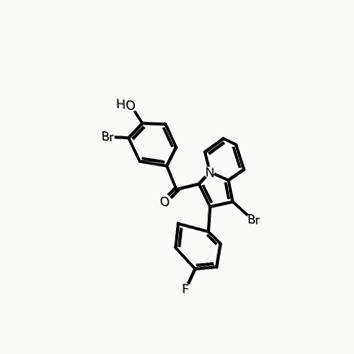 O=C(c1ccc(O)c(Br)c1)c1c(-c2ccc(F)cc2)c(Br)c2ccccn12